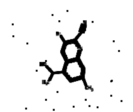 Cc1cc(C(C)O)c2cc(Br)c(C#N)nc2c1